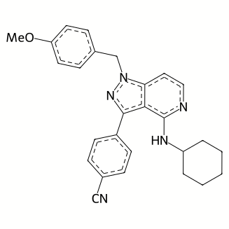 COc1ccc(Cn2nc(-c3ccc(C#N)cc3)c3c(NC4CCCCC4)nccc32)cc1